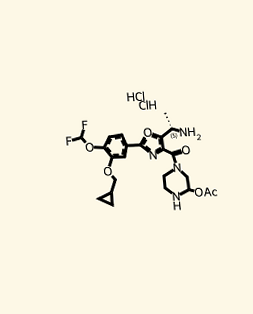 CC(=O)OC1CN(C(=O)c2nc(-c3ccc(OC(F)F)c(OCC4CC4)c3)oc2[C@H](C)N)CCN1.Cl.Cl